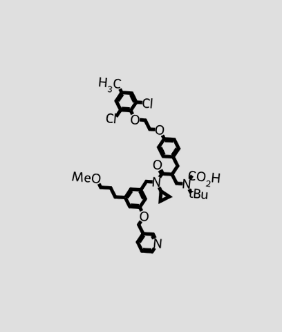 COCCCc1cc(CN(C(=O)C(Cc2ccc(OCCOc3c(Cl)cc(C)cc3Cl)cc2)CN(C(=O)O)C(C)(C)C)C2CC2)cc(OCc2cccnc2)c1